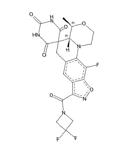 C[C@H]1OCCN2c3c(cc4c(C(=O)N5CC(F)(F)C5)noc4c3F)CC3(C(=O)NC(=O)NC3=O)[C@H]12